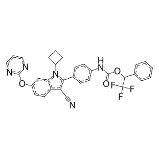 N#Cc1c(-c2ccc(NC(=O)OC(c3ccccc3)C(F)(F)F)cc2)n(C2CCC2)c2cc(Oc3ncccn3)ccc12